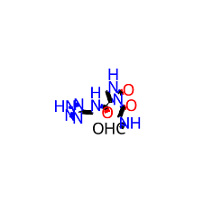 O=CNCC(=O)N1C(=O)NC[C@H]1C(=O)NCc1nn[nH]n1